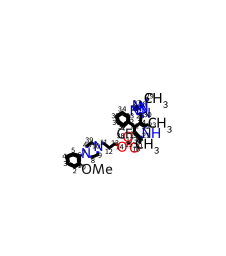 COc1ccccc1N1CCN(CCCOC(=O)OC2=C(C)NC(C)=C(c3nnn(C)n3)C2c2ccccc2C(F)(F)F)CC1